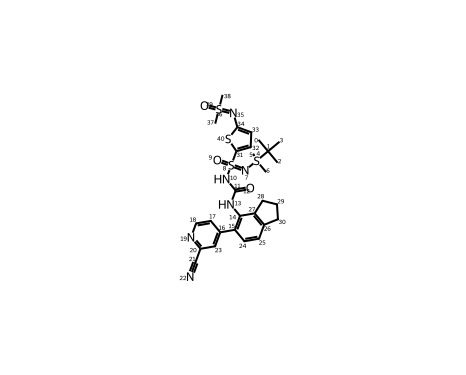 CC(C)(C)S(C)(C)N=S(=O)(NC(=O)Nc1c(-c2ccnc(C#N)c2)ccc2c1CCC2)c1ccc(N=S(C)(C)=O)s1